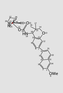 COc1ccc2cc(-c3ccc4c(c3)OCC(C)(C)C4NC(=O)O[C@H]3CN4CCC3CC4)ccc2c1